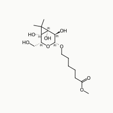 COC(=O)CCCCCO[C@@H]1O[C@H](CO)[C@@]2(O)C(C)(C)[C@@]2(O)[C@H]1O